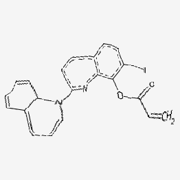 C=CC(=O)Oc1c(I)ccc2ccc(N3C=CC=C4C=CC=CC43)nc12